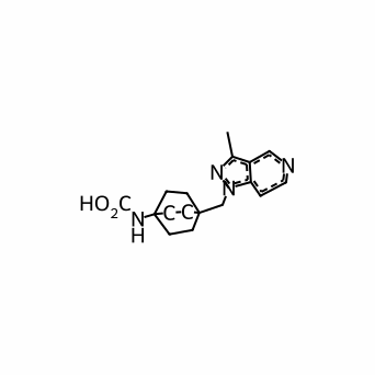 Cc1nn(CC23CCC(NC(=O)O)(CC2)CC3)c2ccncc12